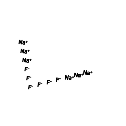 [F-].[F-].[F-].[F-].[F-].[F-].[Na+].[Na+].[Na+].[Na+].[Na+].[Na+]